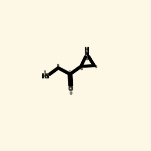 O=C(CS)C1CN1